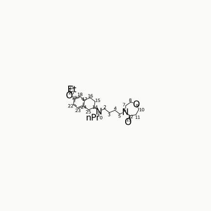 CCCN(CCCCN1CCOCCC1=O)C1CCc2cc(OCC)ccc2C1